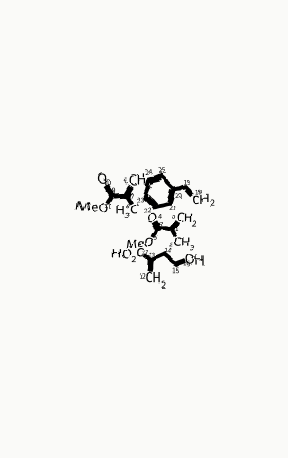 C=C(C)C(=O)OC.C=C(C)C(=O)OC.C=C(CCO)C(=O)O.C=Cc1ccccc1